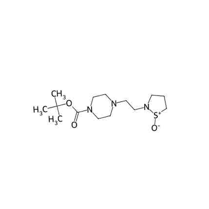 CC(C)(C)OC(=O)N1CCN(CCN2CCC[S+]2[O-])CC1